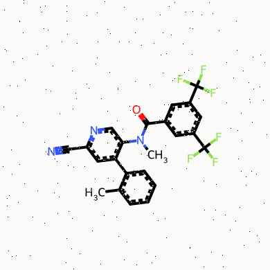 Cc1ccccc1-c1cc(C#N)ncc1N(C)C(=O)c1cc(C(F)(F)F)cc(C(F)(F)F)c1